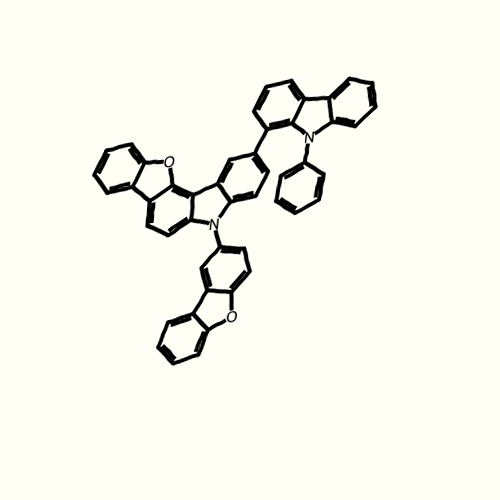 c1ccc(-n2c3ccccc3c3cccc(-c4ccc5c(c4)c4c6oc7ccccc7c6ccc4n5-c4ccc5oc6ccccc6c5c4)c32)cc1